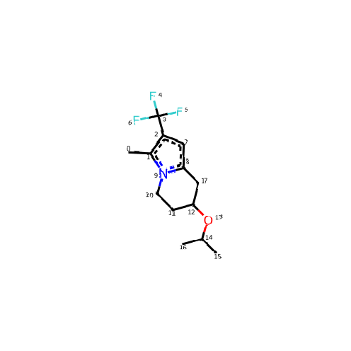 Cc1c(C(F)(F)F)cc2n1CCC(OC(C)C)C2